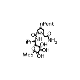 CCCCC[C@@H]1C[C@@H](C(=O)N[C@H](C(C)C)[C@H]2O[C@H](SC)[C@H](O)[C@@H](O)[C@H]2O)N(CC(N)=O)C1